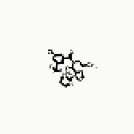 CCCN(C(=O)c1cc(Cl)cc(C(F)(F)F)c1)C(C)c1ncnn1-c1ncccn1